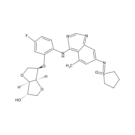 Cc1cc(N=S2(=O)CCCC2)cc2ncnc(Nc3ccc(F)cc3O[C@@H]3CO[C@H]4[C@@H]3OC[C@@H]4O)c12